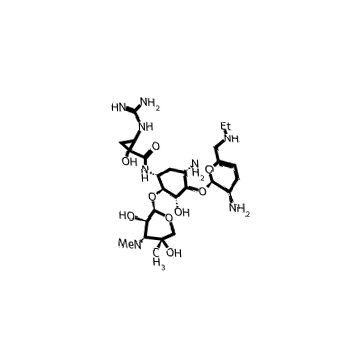 CCNCC1=CC[C@@H](N)[C@@H](OC2[C@@H](N)C[C@@H](NC(=O)C3(O)CC3NC(=N)N)[C@H](O[C@H]3OC[C@](C)(O)[C@H](NC)[C@H]3O)[C@H]2O)O1